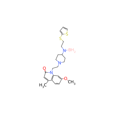 BN(CCSc1cccs1)C1CCN(CCn2c(=O)cc(C)c3ccc(OC)cc32)CC1